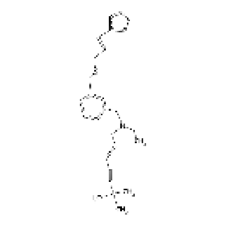 CCN(C/C=C/C#CC(C)(C)C)Cc1cccc(CSC/C=C/c2ccsc2)c1